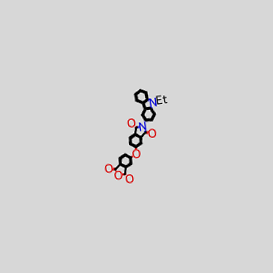 CCn1c2ccccc2c2cc(N3C(=O)c4ccc(Oc5ccc6c(c5)C(=O)OC6=O)cc4C3=O)ccc21